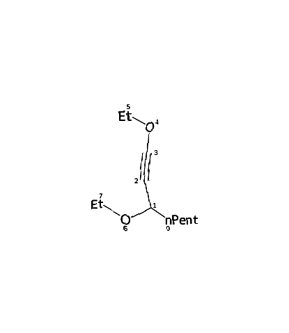 CCCCCC(C#COCC)OCC